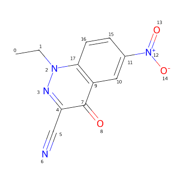 CCn1nc(C#N)c(=O)c2cc([N+](=O)[O-])ccc21